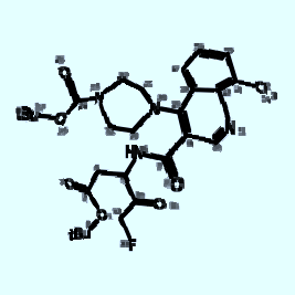 CC(C)(C)OC(=O)CC(NC(=O)c1cnc2c(C(F)(F)F)cccc2c1N1CCN(C(=O)OC(C)(C)C)CC1)C(=O)CF